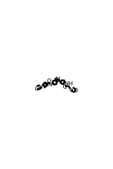 O=C(CCN1CCOCC1)Nc1ccc(-n2ncc3cc(NC(=O)c4ccc(N5CCOCC5)cc4)ccc32)cc1